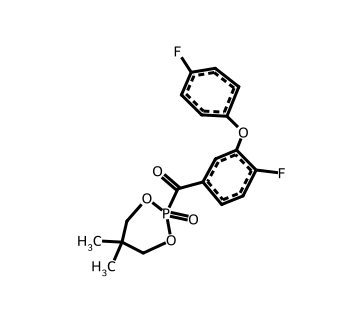 CC1(C)COP(=O)(C(=O)c2ccc(F)c(Oc3ccc(F)cc3)c2)OC1